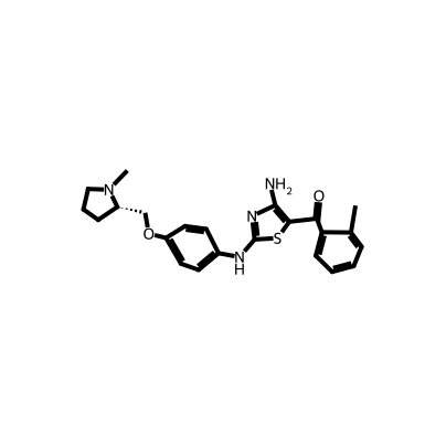 Cc1ccccc1C(=O)c1sc(Nc2ccc(OC[C@@H]3CCCN3C)cc2)nc1N